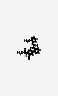 CC(=O)Nc1ccc(-c2ncccc2C(=O)NCc2cccnc2C)cc1C#N